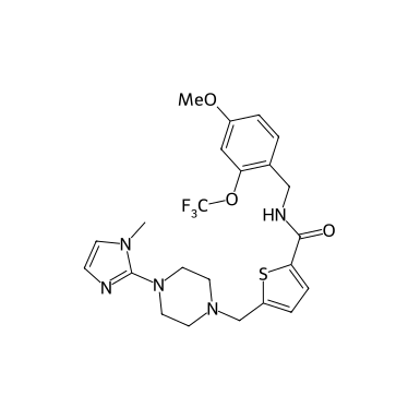 COc1ccc(CNC(=O)c2ccc(CN3CCN(c4nccn4C)CC3)s2)c(OC(F)(F)F)c1